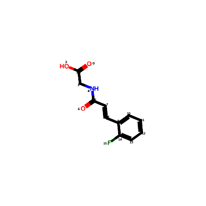 O=C(O)CNC(=O)/C=C/c1ccccc1F